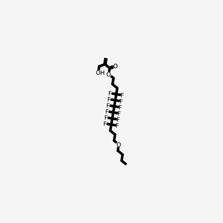 C=C(CO)C(=O)OCCCC(F)(F)C(F)(F)C(F)(F)C(F)(F)C(F)(F)C(F)(F)CCCOCCCC